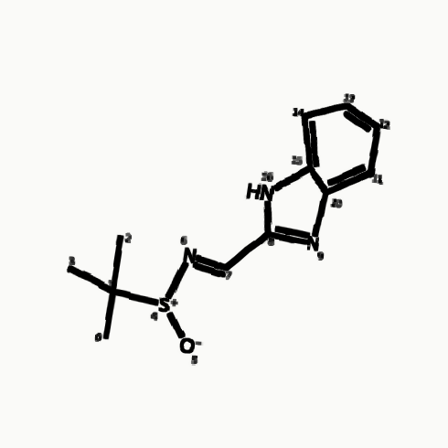 CC(C)(C)[S+]([O-])N=Cc1nc2ccccc2[nH]1